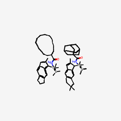 CC1=Cc2cc3c(cc2[CH]1[Ti]([CH3])([CH3])([NH]C(=O)C12CC4CC(CC(C4)C1)C2)=[Si](C)C)CC(C)(C)C3.CC1=Cc2cc3c(cc2[CH]1[Ti]([CH3])([CH3])([NH]C(=O)C1CCCCCCCCCCC1)=[Si](C)C)CCC3